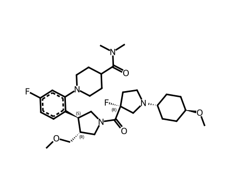 COC[C@H]1CN(C(=O)[C@@]2(F)CCN([C@H]3CC[C@H](OC)CC3)C2)C[C@@H]1c1ccc(F)cc1N1CCC(C(=O)N(C)C)CC1